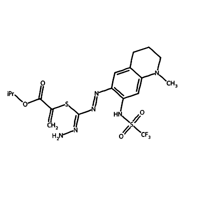 C=C(SC(=N\N)/N=N/c1cc2c(cc1NS(=O)(=O)C(F)(F)F)N(C)CCC2)C(=O)OC(C)C